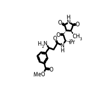 COC(=O)c1cccc(C(N)CC(=O)N[C@H](C(=O)[C@@H]2C(=O)NC(=O)[C@H]2C)C(C)C)c1